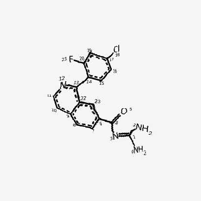 NC(N)=NC(=O)c1ccc2ccnc(-c3ccc(Cl)cc3F)c2c1